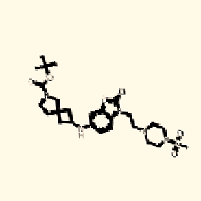 CC(C)(C)OC(=O)N1CCC2(CC(Nc3ccc4c(c3)oc(=O)n4CCN3CCN(S(C)(=O)=O)CC3)C2)C1